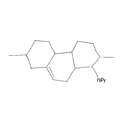 CCCC1C(C)CCC2C3CCC(C)CC3=CCC12